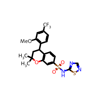 COc1cc(C(F)(F)F)ccc1C1CC(C)(C)Oc2cc(S(=O)(=O)Nc3ncns3)ccc21